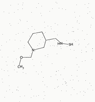 COCN1CCCC(CNS)C1